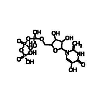 C=C1NC(=O)C(O)=CN1C1OC(COP(=O)(O)OP(=O)(O)OP(=O)(O)O)C(O)C1O